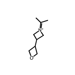 CC(C)=[N+]1CC(C2COC2)C1